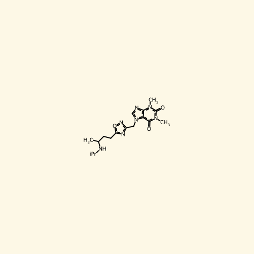 CC(C)NC(C)CCc1nc(Cn2cnc3c2c(=O)n(C)c(=O)n3C)no1